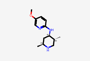 COc1ccc(N[C@@H]2C[C@H](C)NC[C@H]2C)nc1